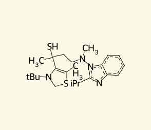 CC1=C(C(C)(S)CCN(C)n2c(C(C)C)nc3ccccc32)N(C(C)(C)C)CS1